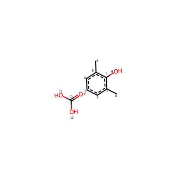 Cc1cccc(C)c1O.O=C(O)O